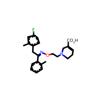 Cc1cc(F)ccc1CC(=NOCCN1CCC=C(C(=O)O)C1)c1ccccc1C